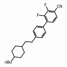 CCCCC1CCC(CCc2ccc(-c3ccc(C#N)c(F)c3F)cc2)CC1